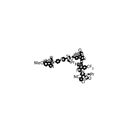 C=Cc1ccc(-c2ccncc2C2(CC(C)C)NC(=O)CS2)cc1.CC(C)CC1(c2cnccc2-c2ccc(C(F)(F)F)cc2)NC(=O)CS1.CC(C)CN1C(=O)CSC1c1cc[n+](-c2ccc(Br)cc2)cc1.CC(C)CN1C(=O)CSC1c1cnccc1-c1ccccc1C#N.COc1ccc(-c2ccncc2C2(CC(C)C)NC(=O)CS2)cc1.[Cl-]